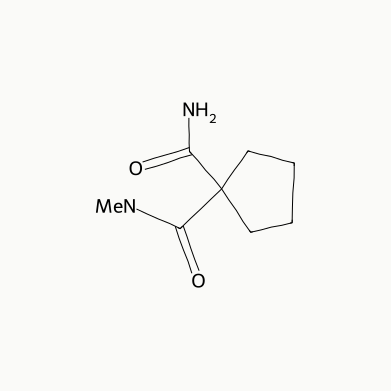 CNC(=O)C1(C(N)=O)CCCC1